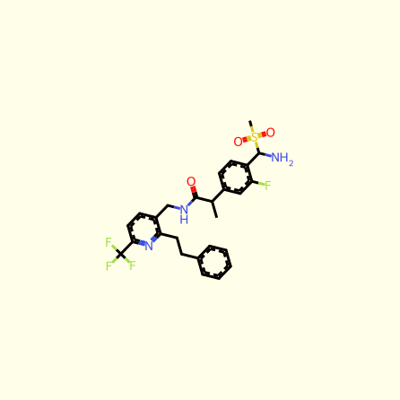 CC(C(=O)NCc1ccc(C(F)(F)F)nc1CCc1ccccc1)c1ccc(C(N)S(C)(=O)=O)c(F)c1